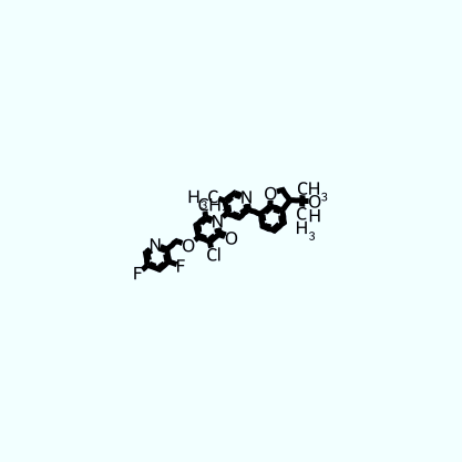 Cc1cnc(-c2cccc3c2OCC3C(C)(C)O)cc1-n1c(C)cc(OCc2ncc(F)cc2F)c(Cl)c1=O